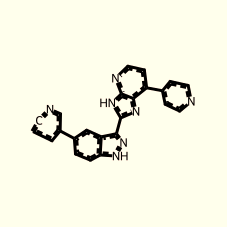 c1cncc(-c2ccc3[nH]nc(-c4nc5c(-c6ccncc6)ccnc5[nH]4)c3c2)c1